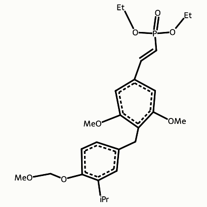 CCOP(=O)(C=Cc1cc(OC)c(Cc2ccc(OCOC)c(C(C)C)c2)c(OC)c1)OCC